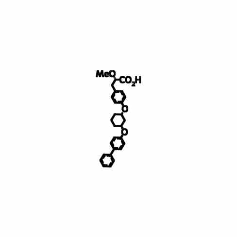 CO[C@@H](Cc1ccc(O[C@H]2CCC[C@H](Oc3ccc(-c4ccccc4)cc3)C2)cc1)C(=O)O